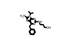 CC(C)n1c(N)nc2c(Cc3ccccc3)nc(NCCCO)nc21